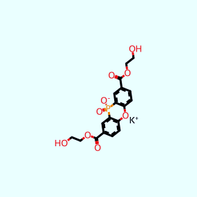 O=C(OCCO)c1ccc2c(c1)P(=O)([O-])c1cc(C(=O)OCCO)ccc1O2.[K+]